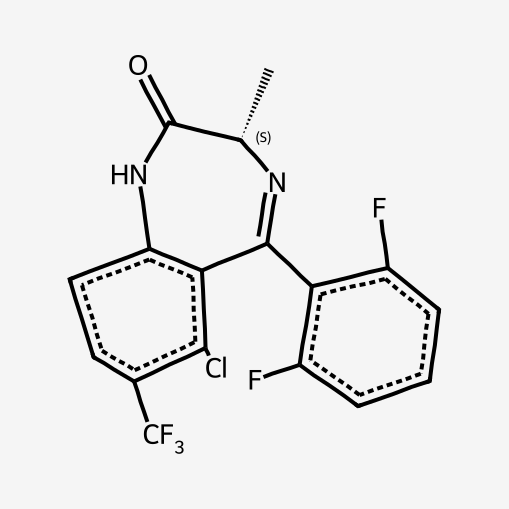 C[C@@H]1N=C(c2c(F)cccc2F)c2c(ccc(C(F)(F)F)c2Cl)NC1=O